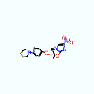 CC1(COc2ccc(N3CCSCC3)cc2)Cn2cc([N+](=O)[O-])nc2O1